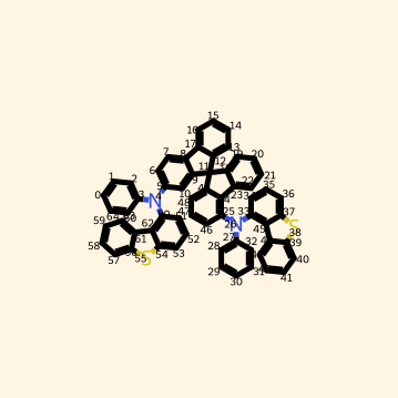 c1ccc(N(c2ccc3c(c2)C2(c4ccccc4-3)c3ccccc3-c3c(N(c4ccccc4)c4cccc5sc6ccccc6c45)cccc32)c2cccc3sc4ccccc4c23)cc1